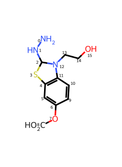 NNC1Sc2cc(OC(=O)O)ccc2N1CCO